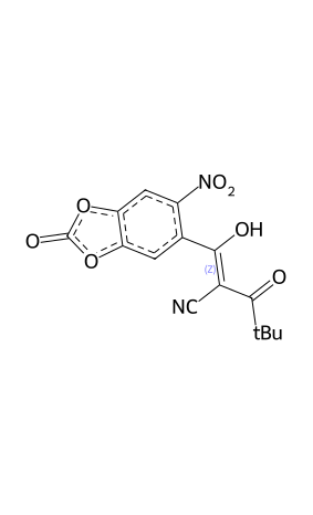 CC(C)(C)C(=O)/C(C#N)=C(\O)c1cc2oc(=O)oc2cc1[N+](=O)[O-]